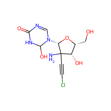 NC1(C#CCl)[C@@H](O)[C@@H](CO)O[C@H]1N1C=NC(=O)NC1O